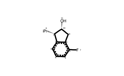 CC(C)[C@H]1c2cccc(F)c2C[C@H]1O